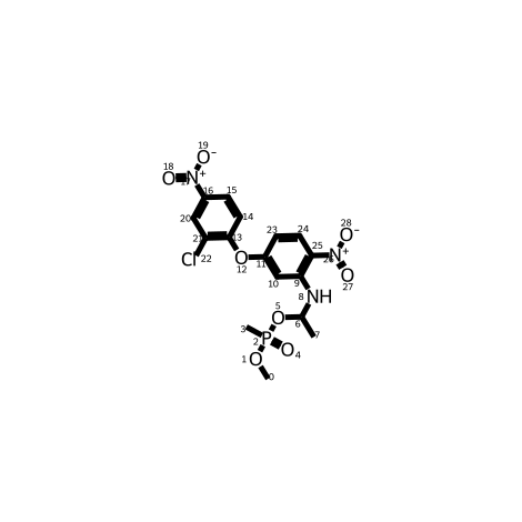 COP(C)(=O)OC(C)Nc1cc(Oc2ccc([N+](=O)[O-])cc2Cl)ccc1[N+](=O)[O-]